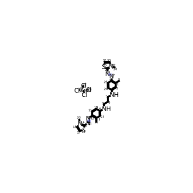 Cc1cc(NCCCNc2ccc(/N=N/c3scc[n+]3C)c(C)c2)ccc1/N=N/c1scc[n+]1C.[Cl][Zn-2]([Cl])([Cl])[Cl]